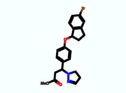 COC(=O)CC(c1ccc(OC2CCc3cc(Br)ccc32)cc1)N1CCC=N1